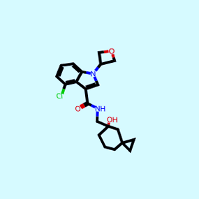 O=C(NCC1(O)CCCC2(CC2)C1)c1cn(C2COC2)c2cccc(Cl)c12